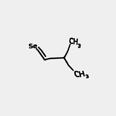 CC(C)C=[Se]